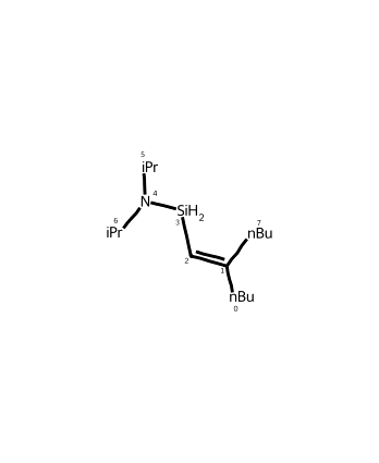 CCCCC(=C[SiH2]N(C(C)C)C(C)C)CCCC